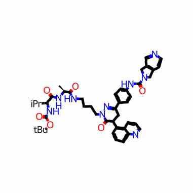 CC(C)C(NC(=O)OC(C)(C)C)C(=O)N[C@@H](C)C(=O)NCCCCN1N=C(c2ccc(NC(=O)N3Cc4ccncc4C3)cc2)CC(c2cccc3ncccc23)C1=O